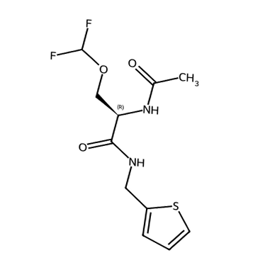 CC(=O)N[C@H](COC(F)F)C(=O)NCc1cccs1